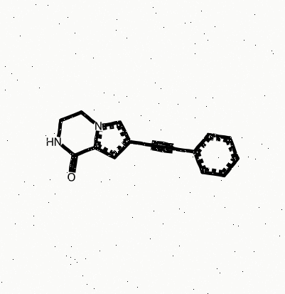 O=C1NCCn2cc(C#Cc3ccccc3)cc21